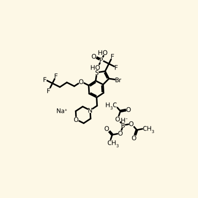 CC(=O)O[BH-](OC(C)=O)OC(C)=O.O=P(O)(O)C(F)(F)c1sc2c(OCCCC(F)(F)F)cc(CN3CCOCC3)cc2c1Br.[Na+]